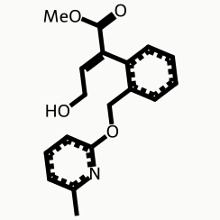 COC(=O)/C(=C/CO)c1ccccc1COc1cccc(C)n1